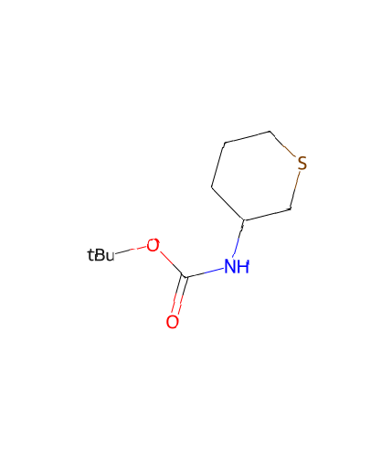 CC(C)(C)OC(=O)NC1CCCSC1